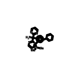 CC(C)(C)P(C[C]12[CH]3[C]4(c5ccccc5)[CH]5[C]1(C(P)(c1ncccn1)c1ncccn1)[Fe]35421678[CH]2[CH]1[CH]6[CH]7[CH]28)C(C)(C)C